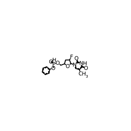 Cc1cn(C2OC(CO[PH](=O)Oc3ccccc3)CC2F)c(=O)[nH]c1=O